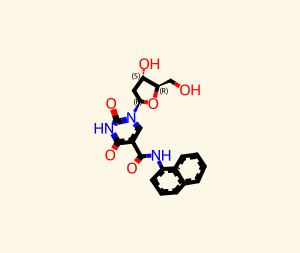 O=C(Nc1cccc2ccccc12)c1cn([C@H]2C[C@H](O)[C@@H](CO)O2)c(=O)[nH]c1=O